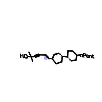 CCCCC[C@H]1CC[C@H]([C@H]2CC[C@H](/C=C/C#CC(C)(C)O)CC2)CC1